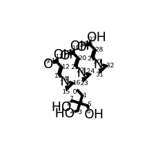 CCC(CO)(CO)CO.O=C(O)C=CN1CC1.O=C(O)C=CN1CC1.O=C(O)C=CN1CC1